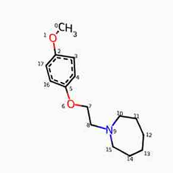 COc1ccc(OCCN2CCCCCC2)cc1